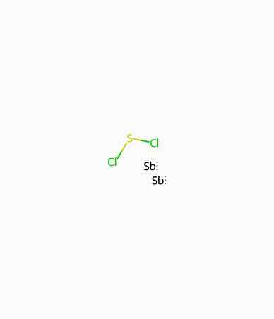 ClSCl.[Sb].[Sb]